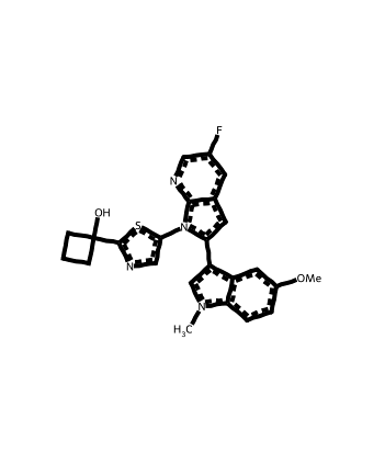 COc1ccc2c(c1)c(-c1cc3cc(F)cnc3n1-c1cnc(C3(O)CCC3)s1)cn2C